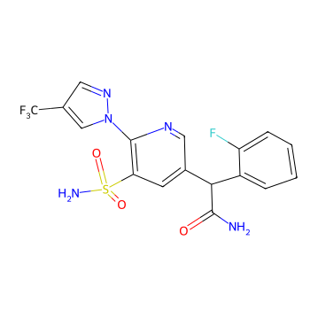 NC(=O)C(c1cnc(-n2cc(C(F)(F)F)cn2)c(S(N)(=O)=O)c1)c1ccccc1F